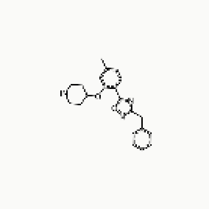 Cc1ccc(-c2nc(Cc3ccccc3)no2)c(OC2CCNCC2)c1